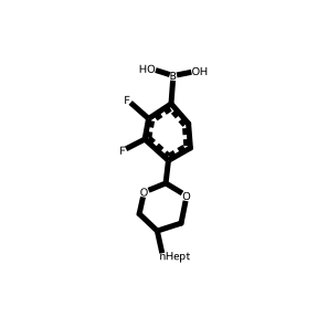 CCCCCCCC1COC(c2ccc(B(O)O)c(F)c2F)OC1